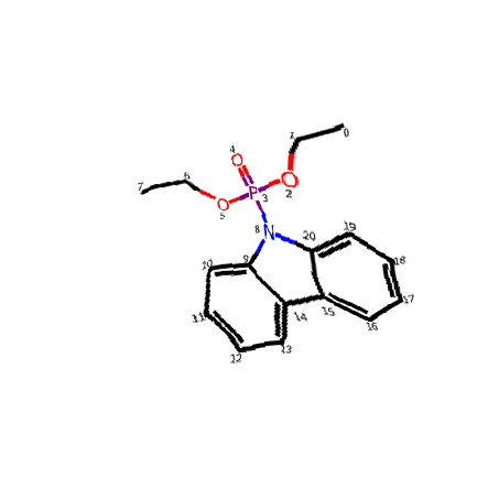 CCOP(=O)(OCC)n1c2ccccc2c2ccccc21